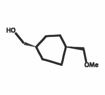 COC[C@H]1CC[C@H](CO)CC1